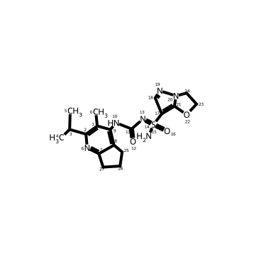 Cc1c(C(C)C)nc2c(c1NC(=O)N=S(N)(=O)c1cnn3c1OCC3)CCC2